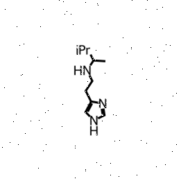 CC(C)C(C)NCCc1c[nH]cn1